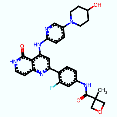 CC1(C(=O)Nc2ccc(-c3cc(Nc4ccc(N5CCC(O)CC5)cn4)c4c(=O)[nH]ccc4n3)c(F)c2)COC1